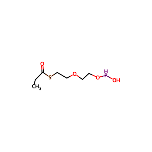 CCC(=O)SCCOCCOPO